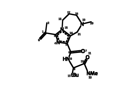 C=C(C)c1nc(C(=O)NC(C(=O)NC)C(C)(C)C)c2n1CCCN(C)C2